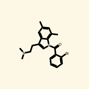 Cc1cc(C)c2c(c1)c(CCN(C)C)cn2C(=O)c1ccccc1Br